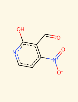 O=Cc1c([N+](=O)[O-])ccnc1O